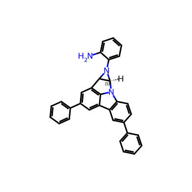 Nc1ccccc1N1C2c3cc(-c4ccccc4)cc4c5cc(-c6ccccc6)ccc5n(c34)[C@@H]21